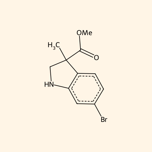 COC(=O)C1(C)CNc2cc(Br)ccc21